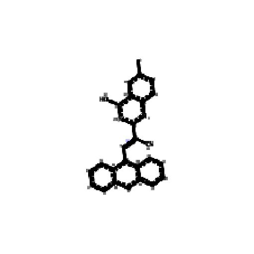 Cc1ccc2nc(/C(C#N)=C/c3c4ccccc4cc4ccccc34)nc(O)c2c1